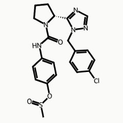 CS(=O)Oc1ccc(NC(=O)N2CCC[C@@H]2c2ncnn2Cc2ccc(Cl)cc2)cc1